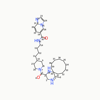 CC1NCC(C(=O)N2CCC(CCCCNC(=O)c3ccc4nccn4c3)CC2)NC12CCCCCCCCC2